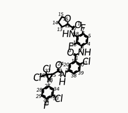 O=C(Nc1ccc(F)c(NC(=O)C2CCCO2)c1F)c1cc(NC(=O)C2[C@H](c3ccc(F)c(Cl)c3)C2(Cl)Cl)ccc1Cl